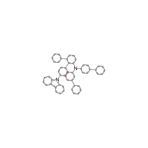 c1ccc(-c2ccc(N(c3cccc(-c4ccccc4)c3)c3cccc(-c4ccccc4)c3-c3ccc(-n4c5ccccc5c5ccccc54)cc3)cc2)cc1